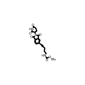 CC(C)(C)OC(=O)NCCCC#Cc1ccc2c(c1)C(=O)N(C1CCC(=O)NC1=O)C2=O